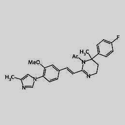 COc1cc(/C=C/C2=NCCC(C)(c3ccc(F)cc3)N2C(C)=O)ccc1-n1cnc(C)c1